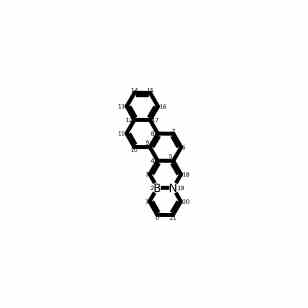 C1=CB2C=c3c(ccc4c3ccc3ccccc34)=CN2C=C1